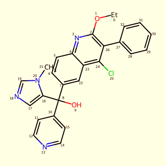 CCOc1nc2ccc(C(O)(c3ccncc3)c3cncn3C)cc2c(Cl)c1-c1ccccc1